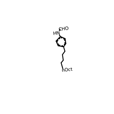 CCCCCCCCCCCCc1ccc(NC=O)cc1